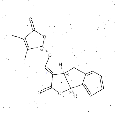 CC1=C(C)[C@@H](O/C=C2/C(=O)O[C@@H]3c4ccccc4C[C@H]23)OC1=O